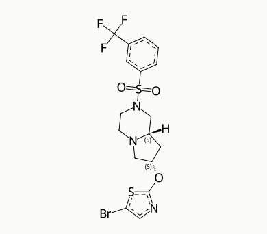 O=S(=O)(c1cccc(C(F)(F)F)c1)N1CCN2C[C@@H](Oc3ncc(Br)s3)C[C@H]2C1